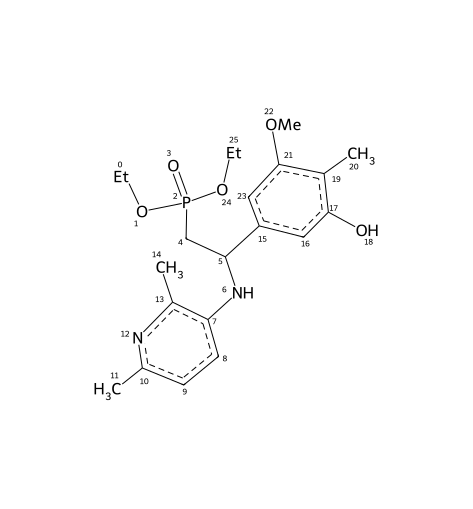 CCOP(=O)(CC(Nc1ccc(C)nc1C)c1cc(O)c(C)c(OC)c1)OCC